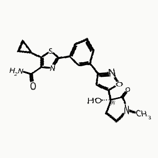 CN1CC[C@@](O)(c2cc(-c3cccc(-c4nc(C(N)=O)c(C5CC5)s4)c3)no2)C1=O